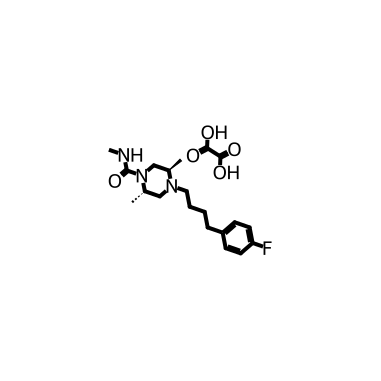 CNC(=O)N1C[C@@H](C)N(CCCCc2ccc(F)cc2)C[C@@H]1C.O=C(O)C(=O)O